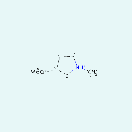 [CH2-][NH+]1CC[C@@H](OC)C1